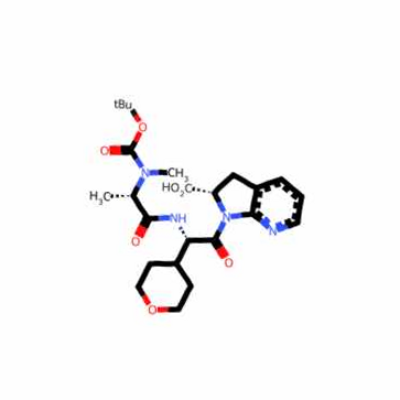 C[C@@H](C(=O)N[C@H](C(=O)N1c2ncccc2C[C@H]1C(=O)O)C1CCOCC1)N(C)C(=O)OC(C)(C)C